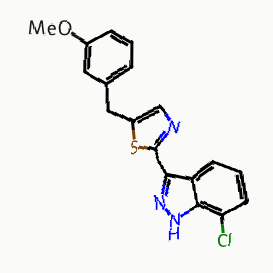 COc1cccc(Cc2cnc(-c3n[nH]c4c(Cl)cccc34)s2)c1